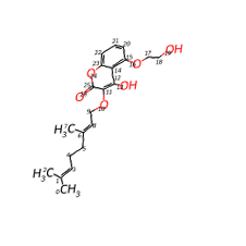 CC(C)=CCC/C(C)=C/COc1c(O)c2c(OCCO)cccc2oc1=O